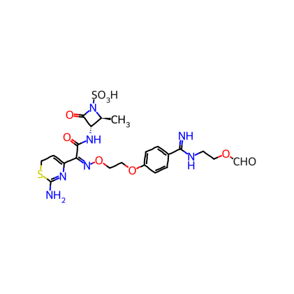 C[C@H]1[C@H](NC(=O)/C(=N\OCCOc2ccc(C(=N)NCCOC=O)cc2)C2=CCSC(N)=N2)C(=O)N1S(=O)(=O)O